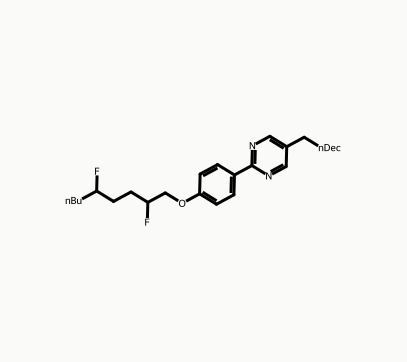 CCCCCCCCCCCc1cnc(-c2ccc(OCC(F)CCC(F)CCCC)cc2)nc1